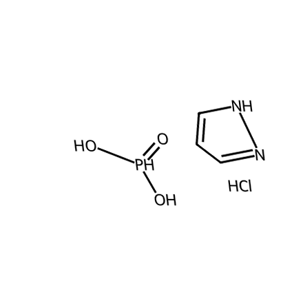 Cl.O=[PH](O)O.c1cn[nH]c1